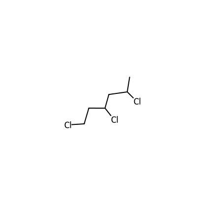 CC(Cl)CC(Cl)CCCl